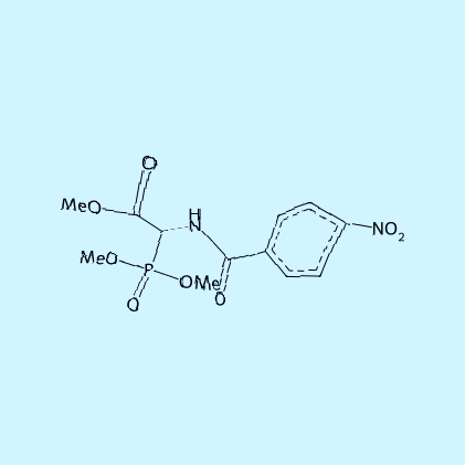 COC(=O)C(NC(=O)c1ccc([N+](=O)[O-])cc1)P(=O)(OC)OC